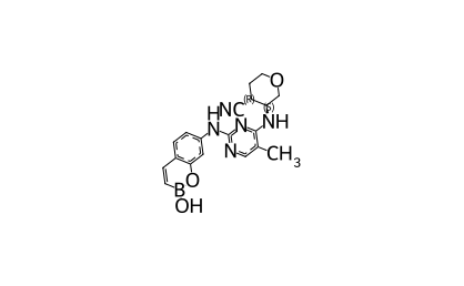 Cc1cnc(Nc2ccc3c(c2)OB(O)C=C3)nc1N[C@@H]1COCC[C@H]1C#N